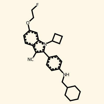 N#Cc1c(-c2ccc(NCC3CCCCC3)cc2)n(C2CCC2)c2cc(OCCF)ccc12